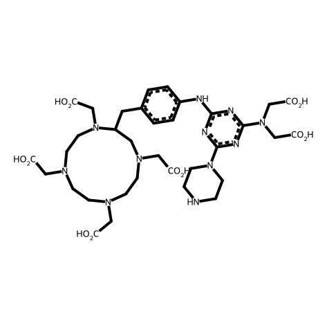 O=C(O)CN1CCN(CC(=O)O)CCN(CC(=O)O)C(Cc2ccc(Nc3nc(N4CCNCC4)nc(N(CC(=O)O)CC(=O)O)n3)cc2)CN(CC(=O)O)CC1